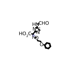 O=CNc1nc(/C(=N\OCCOc2ccccc2)C(=O)O)ns1